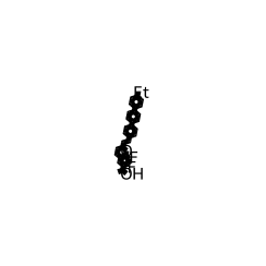 CCC1CCC(C2CCC(C3CCC(CCC4CCc5cc(C(C)O)c(F)c(F)c5O4)CC3)CC2)CC1